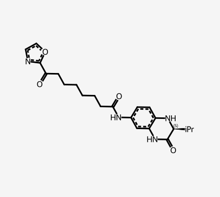 CC(C)[C@@H]1Nc2ccc(NC(=O)CCCCCCC(=O)c3ncco3)cc2NC1=O